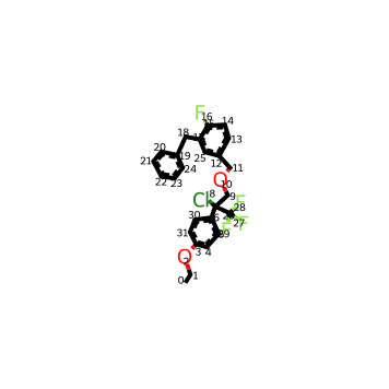 CCOc1ccc(C(Cl)(COCc2ccc(F)c(Cc3ccccc3)c2)C(F)(F)F)cc1